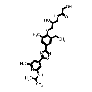 CCc1cc(-c2noc(-c3cc(C)nc(NC(C)C)c3)n2)cc(C)c1OCC(O)CNC(=O)CO